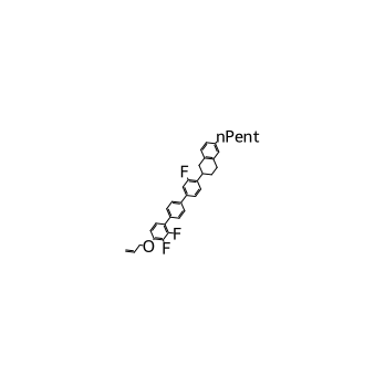 C=CCOc1ccc(-c2ccc(-c3ccc(C4CCc5cc(CCCCC)ccc5C4)c(F)c3)cc2)c(F)c1F